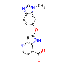 Cn1cnc2ccc(Oc3cc4nccc(C(=O)O)c4[nH]3)cc21